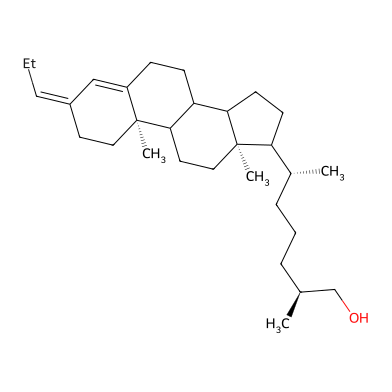 CC/C=C1\C=C2CCC3C4CCC([C@H](C)CCC[C@H](C)CO)[C@@]4(C)CCC3[C@@]2(C)CC1